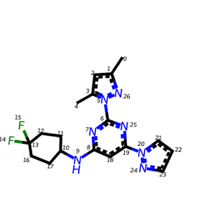 Cc1cc(C)n(-c2nc(NC3CCC(F)(F)CC3)cc(-n3cccn3)n2)n1